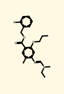 CCCOc1cc(/N=C/N(C)CC)c(C)cc1C(=O)OCc1ccccc1F